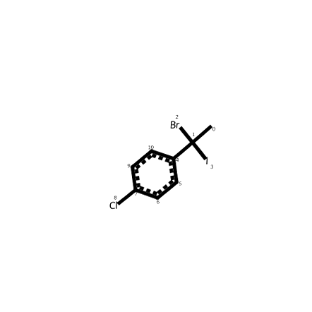 CC(Br)(I)c1ccc(Cl)cc1